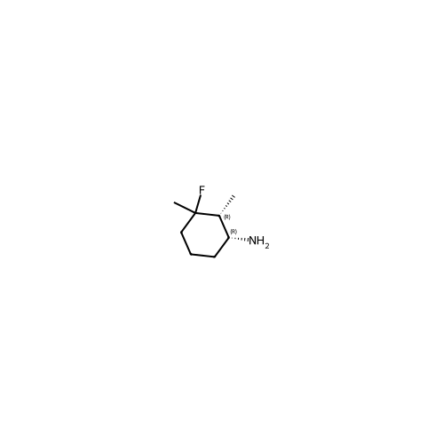 C[C@@H]1[C@H](N)CCCC1(C)F